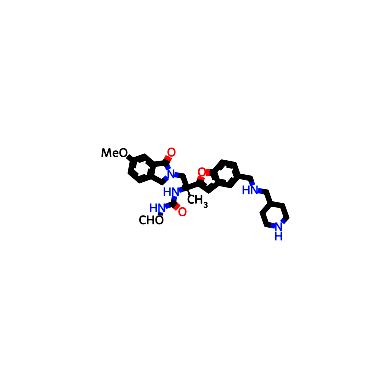 COc1ccc2c(c1)C(=O)N(C[C@](C)(NC(=O)NC=O)c1cc3cc(CNCC4CCNCC4)ccc3o1)C2